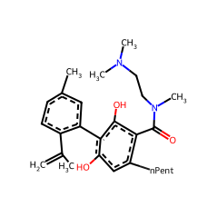 C=C(C)c1ccc(C)cc1-c1c(O)cc(CCCCC)c(C(=O)N(C)CCN(C)C)c1O